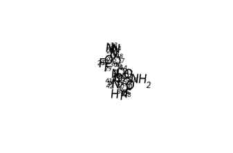 N#CC1(NC(=O)C2(c3c(C(N)=O)oc4cc(-c5ccc(-n6cncn6)c(OC(F)F)c5)ccc34)CCC(F)(F)CC2)CC1